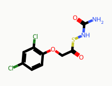 NC(=O)NSC(=O)COc1ccc(Cl)cc1Cl